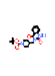 CC(C)(C)OC(=O)N1CCC(Cn2c(=O)[nH]c3ccccc3c2=O)CC1